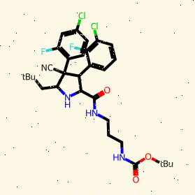 CC(C)(C)CC1NC(C(=O)NCCCNC(=O)OC(C)(C)C)C(c2cccc(Cl)c2F)C1(C#N)c1ccc(Cl)cc1F